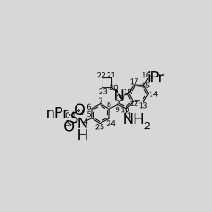 CCCS(=O)(=O)Nc1ccc(-c2c(N)c3ccc(C(C)C)cc3n2C2CCC2)cc1